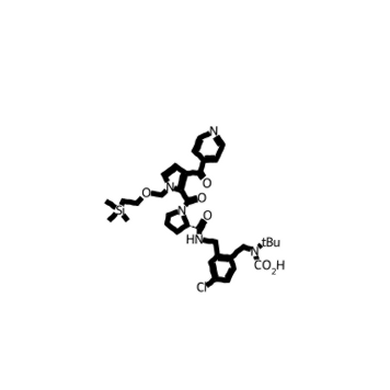 CC(C)(C)N(Cc1ccc(Cl)cc1CNC(=O)[C@@H]1CCCN1C(=O)c1c(C(=O)c2ccncc2)ccn1COCC[Si](C)(C)C)C(=O)O